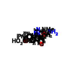 CNC(=O)c1ncnn1[C@@H]1C[C@@]23COC[C@](C)([C@@H]2CC[C@H]2C3=CC[C@]3(C)[C@H](OC(=O)O)[C@@](C)([C@H](C)C(C)C)CC[C@]23C)[C@H]1OC[C@](C)(N)C(C)C